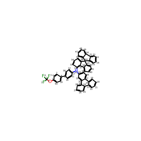 FC(F)(F)Oc1ccc(-c2ccc(N(c3ccc4c5ccccc5c5ccccc5c4c3)c3cccc4c3-c3ccccc3C43c4ccccc4-c4ccccc43)cc2)cc1